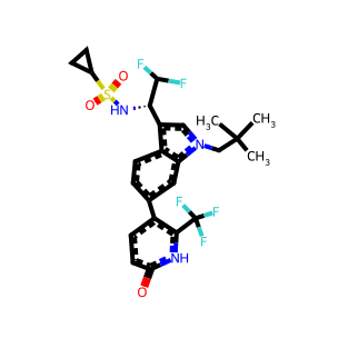 CC(C)(C)Cn1cc([C@H](NS(=O)(=O)C2CC2)C(F)F)c2ccc(-c3ccc(=O)[nH]c3C(F)(F)F)cc21